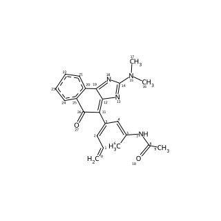 C=C/C=C(\C=C(/C)NC(C)=O)C1=C2N=C(N(C)C)N=C2c2ccccc2C1=O